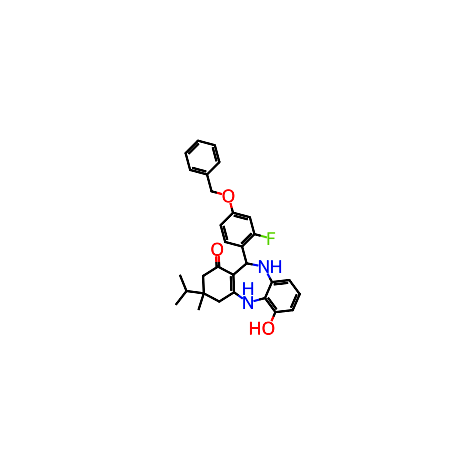 CC(C)C1(C)CC(=O)C2=C(C1)Nc1c(O)cccc1NC2c1ccc(OCc2ccccc2)cc1F